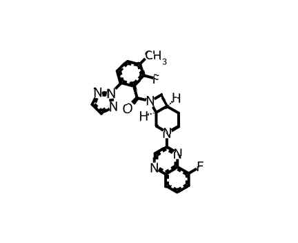 Cc1ccc(-n2nccn2)c(C(=O)N2C[C@H]3CCN(c4cnc5cccc(F)c5n4)C[C@H]32)c1F